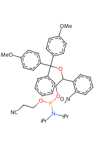 COc1ccc(C(OC(COP(OCCC#N)N(C(C)C)C(C)C)c2ccccc2[N+](=O)[O-])(c2ccccc2)c2ccc(OC)cc2)cc1